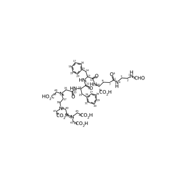 O=CNCCNC(=O)CC[C@@H](NC(=O)C(Cc1ccccc1)NC(=O)C(Cc1ccccc1)NC(=O)CN(CCN(CCN(CC(=O)O)CC(=O)O)CC(=O)O)CC(=O)O)C(=O)O